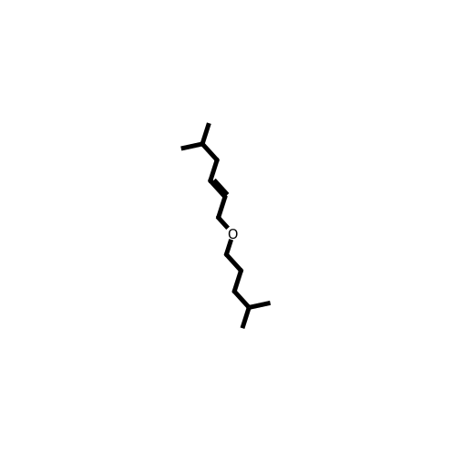 CC(C)CC=CCOCCCC(C)C